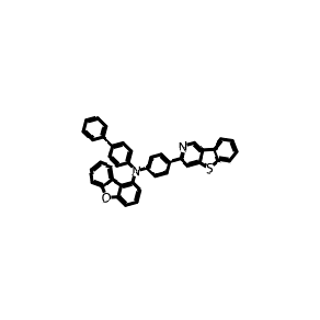 c1ccc(-c2ccc(N(c3ccc(-c4cc5sc6ccccc6c5cn4)cc3)c3cccc4oc5ccccc5c34)cc2)cc1